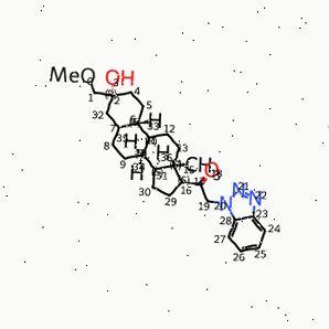 COC[C@@]1(O)CC[C@H]2C(CC[C@@H]3[C@@H]2CC[C@]2(C)[C@@H](C(=O)Cn4nnc5ccccc54)CC[C@@H]32)C1